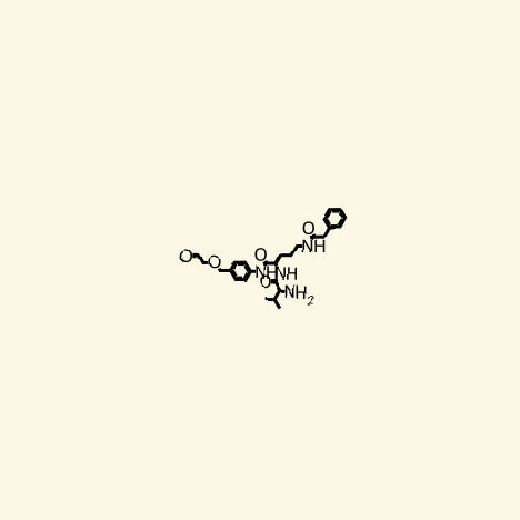 CC(C)C(N)C(=O)NC(CCCNC(=O)Cc1ccccc1)C(=O)Nc1ccc(COCC=O)cc1